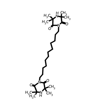 CC1(C)NC(C)(C)C(=O)N(CCCCCCCCCCCCN2C(=O)C(C)(C)NC(C)(C)C2=O)C1=O